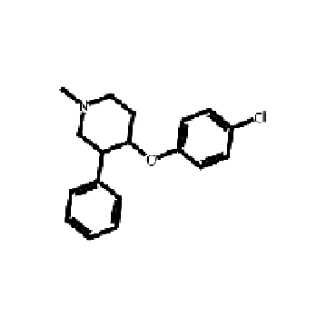 CN1CCC(Oc2ccc(Cl)cc2)C(c2ccccc2)C1